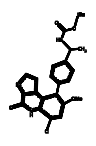 COc1cc(Cl)c2[nH]c(=O)c3sccc3c2c1-c1ccc(C(C)NC(=O)OC(C)(C)C)cc1